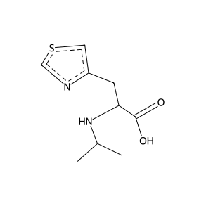 CC(C)NC(Cc1cscn1)C(=O)O